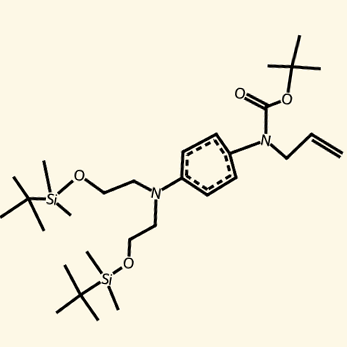 C=CCN(C(=O)OC(C)(C)C)c1ccc(N(CCO[Si](C)(C)C(C)(C)C)CCO[Si](C)(C)C(C)(C)C)cc1